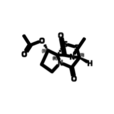 CC(=O)O[C@H]1CCN2C(=O)[C@H]3SS[C@@]12C(=O)N3C